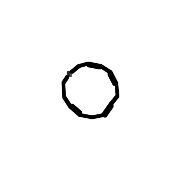 C1=CCC=CCC=CCCCCC=C1